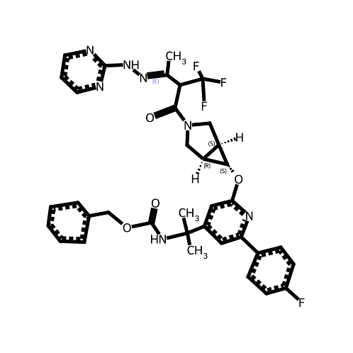 C/C(=N\Nc1ncccn1)C(C(=O)N1C[C@@H]2[C@H](C1)[C@H]2Oc1cc(C(C)(C)NC(=O)OCc2ccccc2)cc(-c2ccc(F)cc2)n1)C(F)(F)F